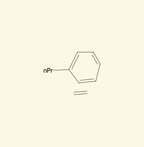 C=C.[CH2]CCc1ccccc1